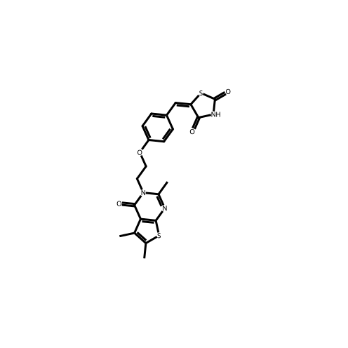 Cc1sc2nc(C)n(CCOc3ccc(C=C4SC(=O)NC4=O)cc3)c(=O)c2c1C